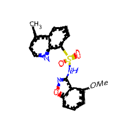 COc1cccc2onc(NS(=O)(=O)c3cccc4c(C)ccnc34)c12